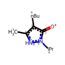 CCCCc1c(C)[nH]n(C(C)C)c1=O